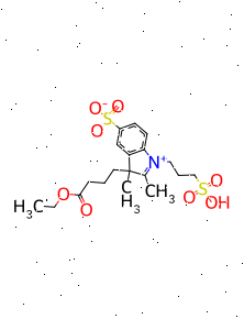 CCOC(=O)CCCC1(C)C(C)=[N+](CCCS(=O)(=O)O)c2ccc(S(=O)(=O)[O-])cc21